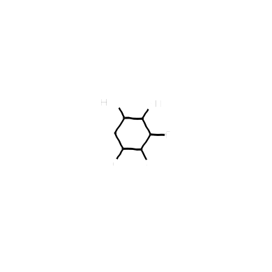 CCC1CC(C)C(S)C(F)C1C